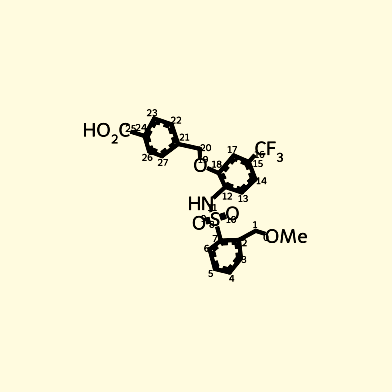 COCc1ccccc1S(=O)(=O)Nc1ccc(C(F)(F)F)cc1OCc1ccc(C(=O)O)cc1